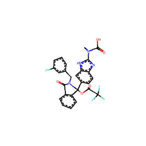 CN(C(=O)O)c1nc2ccc(C3(OC(=O)C(F)(F)F)c4ccccc4C(=O)N3Cc3cccc(F)c3)cc2[nH]1